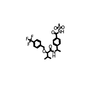 CC(NC(=O)C(OCc1ccc(C(F)(F)F)cc1)C(C)C)c1ccc(C(=O)NS(C)(=O)=O)cc1